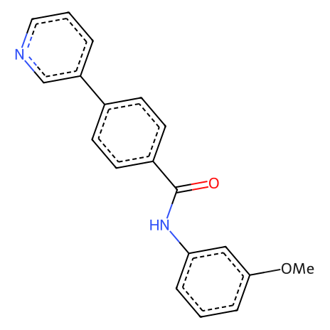 COc1cccc(NC(=O)c2ccc(-c3cccnc3)cc2)c1